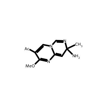 COC1=NC2=CC(C)(N)N=CN2C=C1C(C)=O